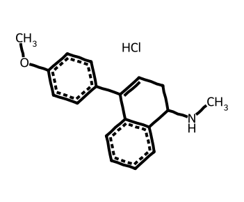 CNC1CC=C(c2ccc(OC)cc2)c2ccccc21.Cl